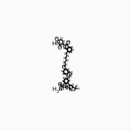 CC(C)(C)c1cc(-c2cc(-n3cnc4cc(OCCCCCCc5cccc6c5CN(C5CCC(=O)NC5=O)C6=O)ccc43)ccc2NC(N)=O)[nH]n1